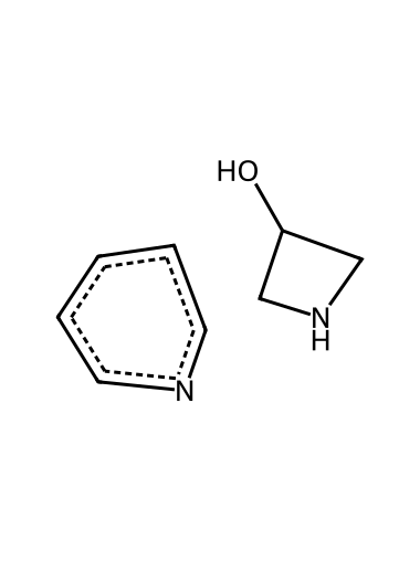 OC1CNC1.c1ccncc1